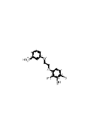 CCCc1c(OCCOc2cccc(C(=O)O)c2)ccc(C(C)=O)c1O